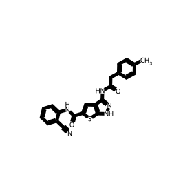 Cc1ccc(CC(=O)Nc2n[nH]c3sc(C(=O)Nc4ccccc4C#N)cc23)cc1